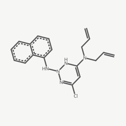 C=CCN(CC=C)C1=CC(Cl)=NN(Nc2cccc3ccccc23)N1